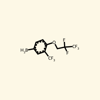 Bc1ccc(OCC(F)(F)C(F)(F)F)c(C(F)(F)F)c1